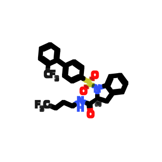 O=C(NCCCC(F)(F)F)[C@@H]1Cc2ccccc2N1S(=O)(=O)c1ccc(-c2ccccc2C(F)(F)F)cc1